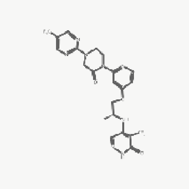 C[C@@H](COc1ccnc(N2CCN(c3ncc(C(F)(F)F)cn3)CC2=O)c1)Nc1cn[nH]c(=O)c1C(F)(F)F